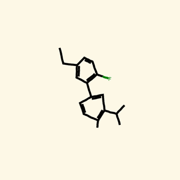 CCc1ccc(F)c(-c2ccc(C)c(C(C)C)c2)c1